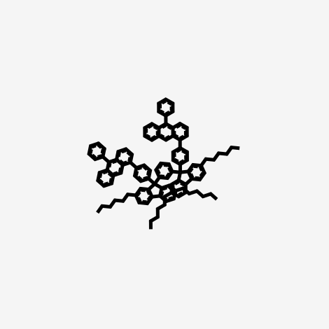 CCCCCCc1ccc2c(c1)C(c1ccc(-c3cccc4c(-c5ccccc5)c5ccccc5cc34)cc1)(c1cccc(C3(c4ccc(-c5cccc6c(-c7ccccc7)c7ccccc7cc56)cc4)c4cc(CCCCCC)ccc4-c4ccc(CCCCCC)cc43)c1)c1cc(CCCCCC)ccc1-2